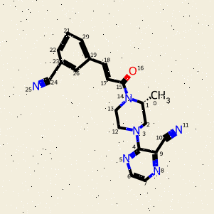 C[C@@H]1CN(c2nccnc2C#N)CCN1C(=O)C=Cc1cccc(C#N)c1